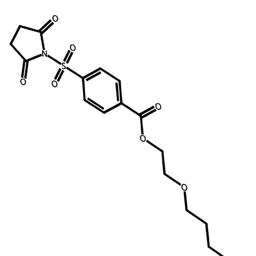 CCCCOCCOC(=O)c1ccc(S(=O)(=O)N2C(=O)CCC2=O)cc1